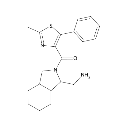 Cc1nc(C(=O)N2CC3CCCCC3C2CN)c(-c2ccccc2)s1